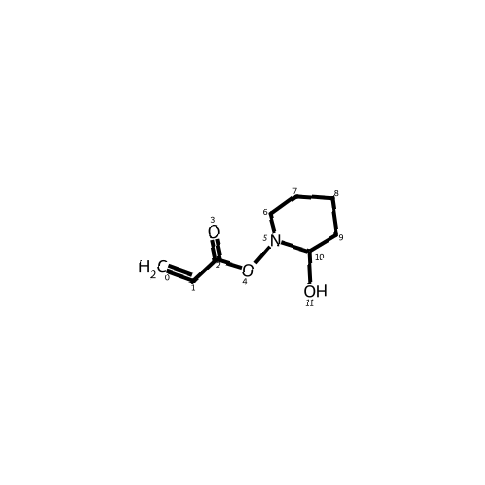 C=CC(=O)ON1CCCCC1O